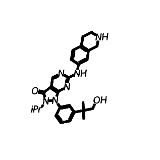 CC(C)n1c(=O)c2cnc(Nc3ccc4c(c3)CNCC4)nc2n1-c1cccc(C(C)(C)CO)c1